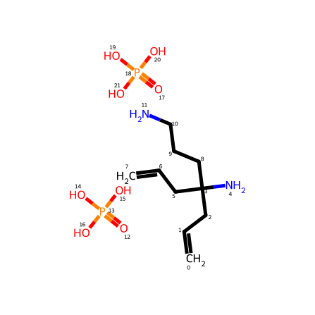 C=CCC(N)(CC=C)CCCN.O=P(O)(O)O.O=P(O)(O)O